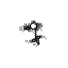 CC[C@H]1OC(=O)[C@H](C)C[C@H](C)[C@@H](O[C@@H]2O[C@H](C)C[C@H](N(C)C)[C@H]2O)[C@](C)(O)CCCN(C(=O)CCCCCCC[PH](c2ccc(OC)cc2)(c2ccc(OC)cc2)c2ccc(OC)cc2)[C@H](C)[C@@H](O)[C@]1(C)O